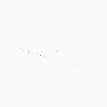 CCOC(=O)SC(C)(C)C#N